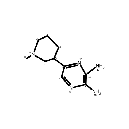 CN1CCCC(c2cnc(N)c(N)n2)C1